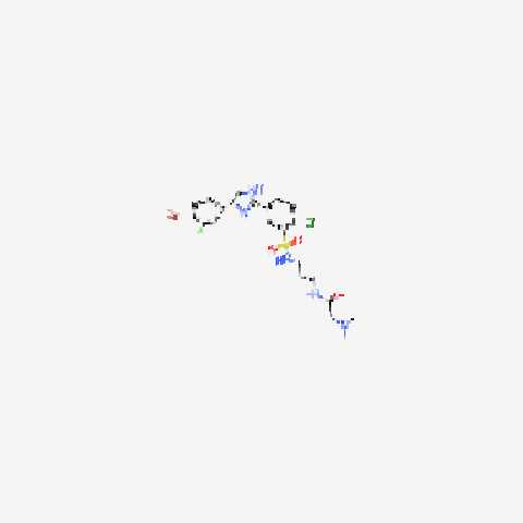 CN(C)CC(=O)NCCCNS(=O)(=O)c1cc(-c2nc(-c3ccc(Br)c(F)c3)c[nH]2)ccc1Cl